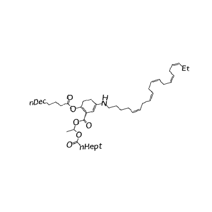 CC/C=C\C/C=C\C/C=C\C/C=C\C/C=C\CCCCNC1=CC(C(=O)OC(C)OC(=O)CCCCCCC)=C(OC(=O)CCCCCCCCCCCCC)CC1